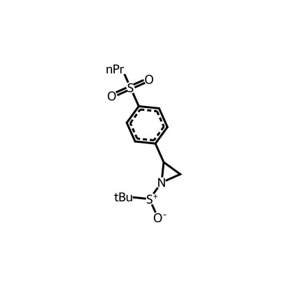 CCCS(=O)(=O)c1ccc(C2CN2[S+]([O-])C(C)(C)C)cc1